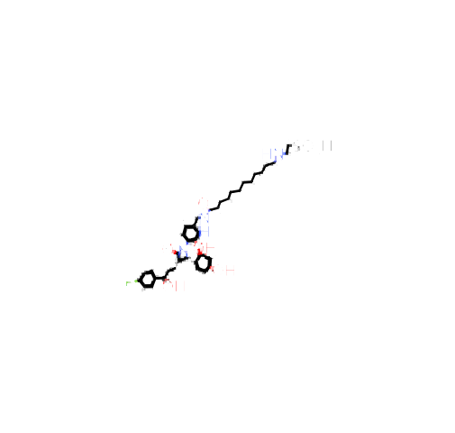 O=C(CCCCCCCCCCCNCCS(=O)(=O)O)NCc1ccc(N2C(=O)[C@H](CC[C@H](O)c3ccc(F)cc3)[C@H]2c2ccc(O)cc2O)cc1